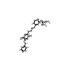 NC(N)=Nc1cc(CSCCc2nc(=O)c(CCc3ccccc3)c[nH]2)ccn1